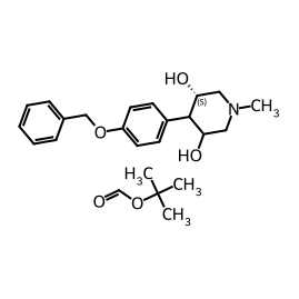 CC(C)(C)OC=O.CN1CC(O)C(c2ccc(OCc3ccccc3)cc2)[C@H](O)C1